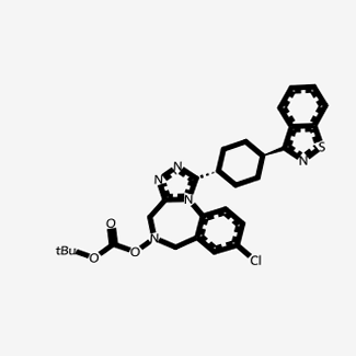 CC(C)(C)OC(=O)ON1Cc2cc(Cl)ccc2-n2c(nnc2[C@H]2CC[C@H](c3nsc4ccccc43)CC2)C1